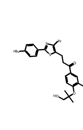 CCCCc1ccc(-c2nc(C(C)C)c(CCC(=O)c3ccc(OC(C)(C)CO)c(C)c3)s2)cc1